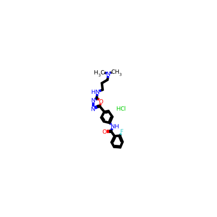 CN(C)CCCNc1nnc(-c2ccc(NC(=O)c3ccccc3F)cc2)o1.Cl